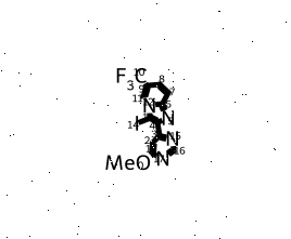 COc1cc(-c2nc3ccc(C(F)(F)F)cn3c2I)ncn1